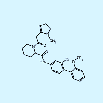 CN1CCN=C1CC(=O)N1CCCCC1C(=O)Nc1ccc(-c2ccccc2OC(F)(F)F)c(Cl)c1